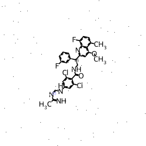 COc1cc([C@@H](CNC(=O)c2c(Cl)cc(N/C=N\C(C)=N)cc2Cl)c2cccc(F)c2)nc2c(F)ccc(C)c12